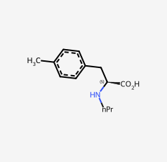 CCCN[C@@H](Cc1ccc(C)cc1)C(=O)O